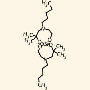 CCCCCN1CC[O][Sn]2([O]CCN(CCCCC)CC(C)(C)[O]2)[O]C(C)(C)C1